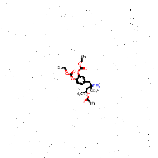 CCCC(=O)O[C@@H](C)CC(N)(Cc1ccc(OC(=O)OCC(C)CC)c(OC(=O)OCC(C)CC)c1)C(=O)O